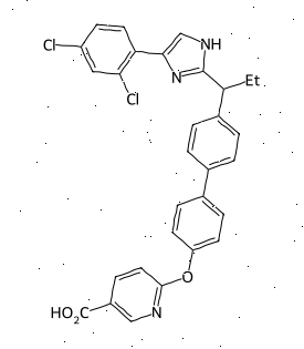 CCC(c1ccc(-c2ccc(Oc3ccc(C(=O)O)cn3)cc2)cc1)c1nc(-c2ccc(Cl)cc2Cl)c[nH]1